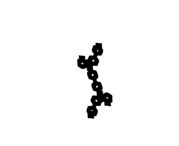 c1cnc2c3cc(-c4ccncc4)ccc3n(-c3ccc(-c4ccc(-n5c6ccc(-c7ccncc7)cc6c6ncccc65)cc4)cc3)c2c1